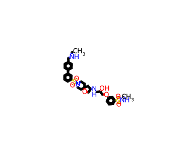 CCNCc1ccc(-c2cccc(S(=O)(=O)N3CCC4(CC3)CC(NCC(O)COc3cccc(S(=O)(=O)NC)c3)CO4)c2)cc1